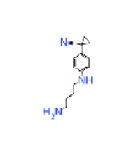 N#CC1(c2ccc(NCCCCN)cc2)CC1